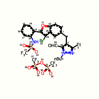 CCCCn1nc(CC)c(Cc2ccc3oc(-c4ccccc4NS(=O)(=O)C(F)(F)F)c(Br)c3c2)c1C=O.O=S(=O)(OS(=O)(=O)C(F)(F)F)C(F)(F)F